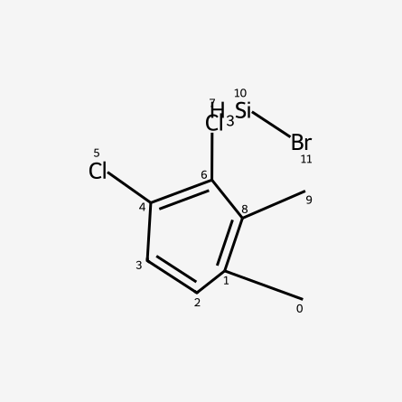 Cc1ccc(Cl)c(Cl)c1C.[SiH3]Br